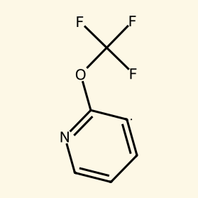 FC(F)(F)Oc1[c]cccn1